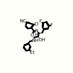 CCc1cccc(CNC[C@@H](O)[C@H](Cc2cc(F)cc(F)c2)NC(=O)c2ccc(C#N)cc2Cl)c1